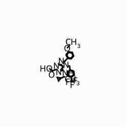 CCOc1cccc(-c2nc3nc(C(=O)O)nc(N[C@H](C)C4CC4)c3n2Cc2ccc(C(F)(F)F)cc2)c1